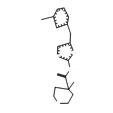 CC1(C(=O)Nc2ncc(Cc3cccc(Cl)c3)s2)CCOCC1